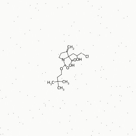 C=C1CCN(C(=O)OCCC(C)(C)C)C1(CC(O)CCl)C(=O)O